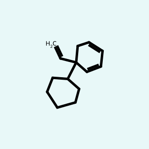 C=CC1(C2CCCCC2)C=CC=CC1